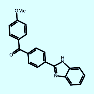 COc1ccc(C(=O)c2ccc(-c3nc4ccccc4[nH]3)cc2)cc1